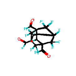 O=C(F)C12C(F)C3(C(=O)F)C(F)(F)C(F)(C1(F)F)C(F)(F)C(C(=O)F)(C2(F)F)C3(F)F